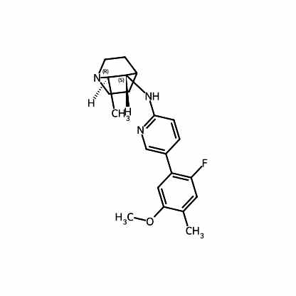 COc1cc(-c2ccc(N[C@H]3C4CCN(CC4)[C@@H]3C)nc2)c(F)cc1C